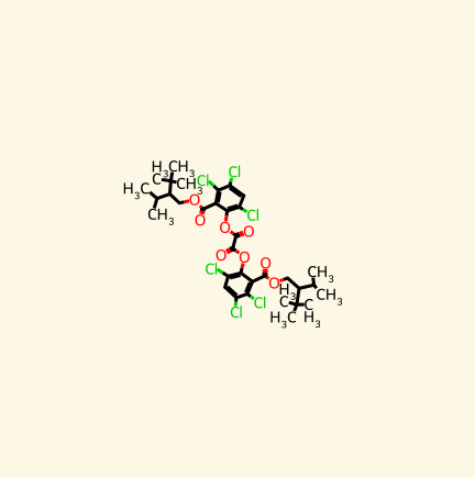 CC(C)C(COC(=O)c1c(Cl)c(Cl)cc(Cl)c1OC(=O)C(=O)Oc1c(Cl)cc(Cl)c(Cl)c1C(=O)OCC(C(C)C)C(C)(C)C)C(C)(C)C